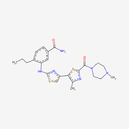 CCCc1ccc(C(N)=O)cc1Nc1nc(-c2sc(C(=O)N3CCN(C)CC3)nc2C)cs1